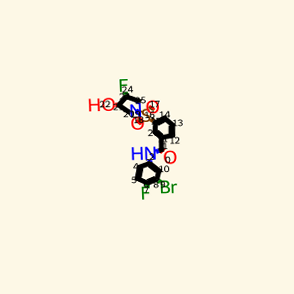 O=C(Nc1ccc(F)c(Br)c1)c1cccc(S(=O)(=O)N2CC(O)C(F)C2)c1